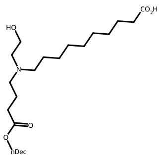 CCCCCCCCCCOC(=O)CCCN(CCO)CCCCCCCCCC(=O)O